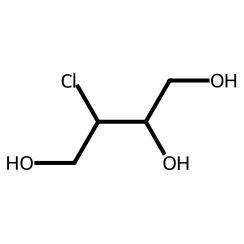 OCC(O)C(Cl)CO